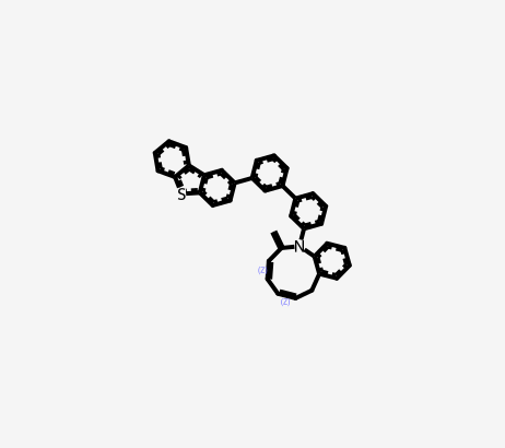 C=C1/C=C\C=C/Cc2ccccc2N1c1cccc(-c2cccc(-c3ccc4sc5ccccc5c4c3)c2)c1